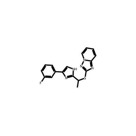 CC(Sc1nc2ccccn2n1)c1nc(-c2cccc(F)c2)c[nH]1